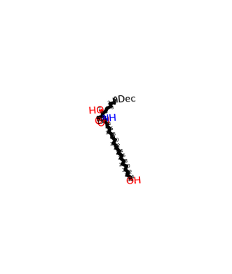 CCCCCCCCCCCCCCCC(O)C(CO)NC(=O)CCCCCCCCCCCCCCCCCCCCCO